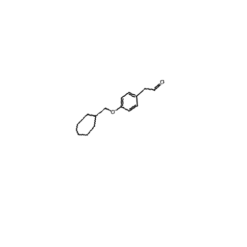 O=CCc1ccc(OCC2CCCCC2)cc1